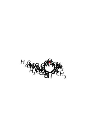 C=CC(=O)N1CC[C@H](C(=O)N(C)CC(C(=O)N[C@H]2Cc3cc(O)cc(c3)-c3ccc4c(c3)c(c(-c3cncnc3)n4CC)CC(C)(C)COC(=O)[C@@H]3CCCN(N3)C2=O)C(C)C)O1